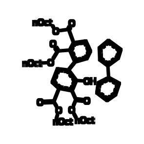 CCCCCCCCOC(=O)c1cccc(-c2ccc(C(=O)OCCCCCCCC)c(C(=O)OCCCCCCCC)c2O)c1C(=O)OCCCCCCCC.c1ccc(-c2ccccc2)cc1